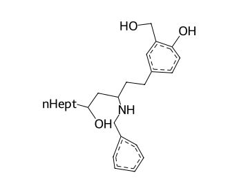 CCCCCCCC(O)CC(CCc1ccc(O)c(CO)c1)NCc1ccccc1